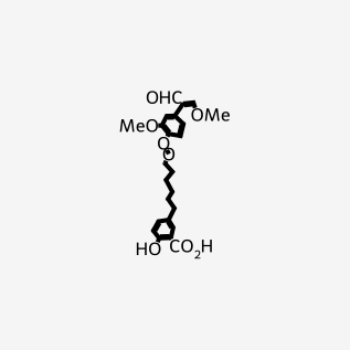 CO/C=C(/C=O)c1ccc(OOCCCCCCc2ccc(O)c(C(=O)O)c2)c(OC)c1